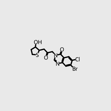 O=C(CC1SCCC1O)Cn1cnc2cc(Br)c(Cl)cc2c1=O